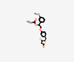 CCCCCCC(=O)OC(COc1ccc(CC2SC(=O)CC2=O)cc1)c1cccc(OC)c1